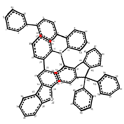 c1ccc(-c2ccc(-c3ccccc3N(c3ccccc3-c3ccc4oc5ccccc5c4c3)c3cccc4c3-c3ccccc3C4(c3ccccc3)c3ccccc3)cc2)cc1